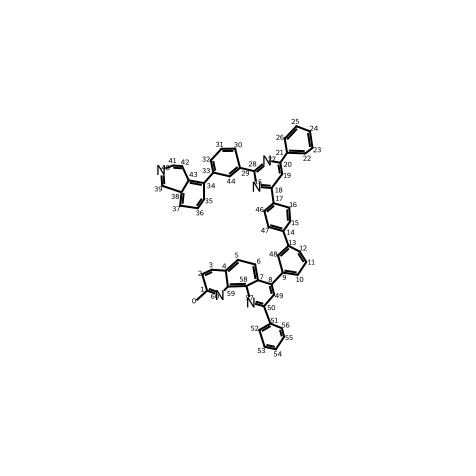 Cc1ccc2ccc3c(-c4cccc(-c5ccc(-c6cc(-c7ccccc7)nc(-c7cccc(-c8cccc9cnccc89)c7)n6)cc5)c4)cc(-c4ccccc4)nc3c2n1